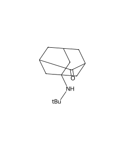 CC(C)(C)NC12CC3CC(C1)C(=O)C(C3)C2